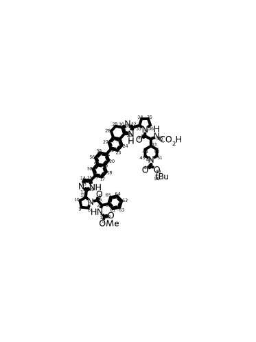 COC(=O)NC(C(=O)N1CCCC1c1ncc(-c2ccc3cc(-c4ccc5c(c4)CCc4nc(C6CCCN6C(=O)C(NC(=O)O)C6CCN(C(=O)OC(C)(C)C)CC6)[nH]c4-5)ccc3c2)[nH]1)c1ccccc1